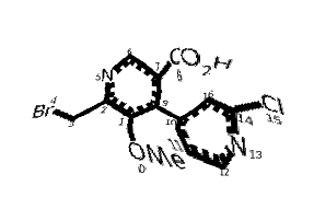 COc1c(CBr)ncc(C(=O)O)c1-c1ccnc(Cl)c1